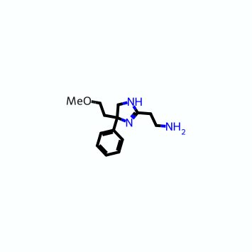 COCCC1(c2ccccc2)CNC(CCN)=N1